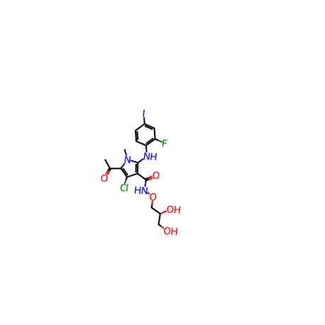 CC(=O)c1c(Cl)c(C(=O)NOC[C@@H](O)CO)c(Nc2ccc(I)cc2F)n1C